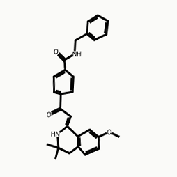 COc1ccc2c(c1)/C(=C/C(=O)c1ccc(C(=O)NCc3ccccc3)cc1)NC(C)(C)C2